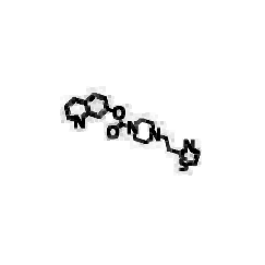 O=C(Oc1ccc2cccnc2c1)N1CCN(CCc2nccs2)CC1